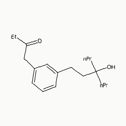 CCCC(O)(CCC)CCc1cccc(CC(=O)CC)c1